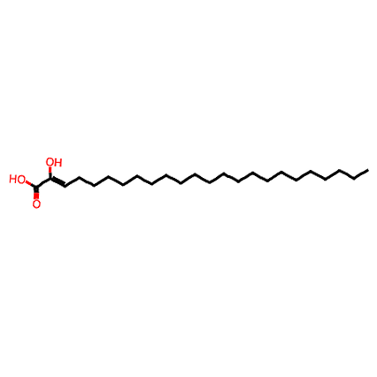 CCCCCCCCCCCCCCCCCCCCCC=C(O)C(=O)O